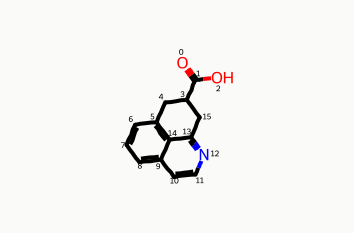 O=C(O)C1Cc2cccc3ccnc(c23)C1